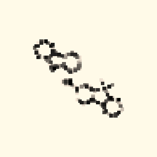 CC1(C)C2=CC(Nc3cccc4c3oc3ccccc34)CC=C2c2ccccc21